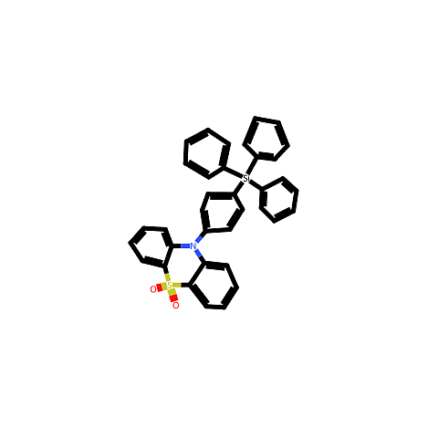 O=S1(=O)c2ccccc2N(c2ccc([Si](c3ccccc3)(c3ccccc3)c3ccccc3)cc2)c2ccccc21